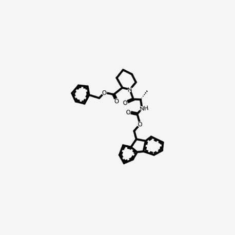 C[C@H](NC(=O)OCC1c2ccccc2-c2ccccc21)C(=O)N1CCCCC1C(=O)OCc1ccccc1